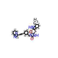 Cc1cccc2c(CC3NC(=O)N(Cc4cccc(C#Cc5cnc6ccccn56)c4)C3=O)c[nH]c12